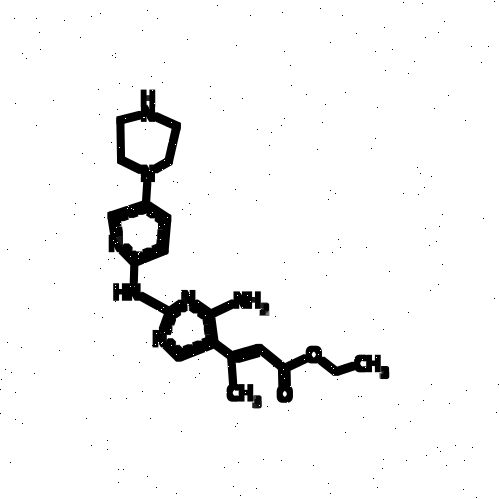 CCOC(=O)C=C(C)c1cnc(Nc2ccc(N3CCNCC3)cn2)nc1N